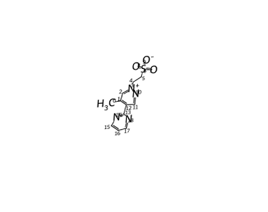 Cc1c[n+](CCS(=O)(=O)[O-])ncc1-c1ncccn1